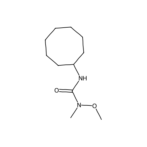 CON(C)C(=O)NC1CCCCCCC1